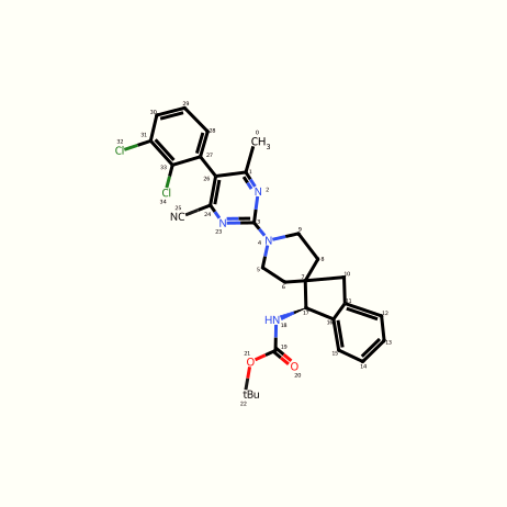 Cc1nc(N2CCC3(CC2)Cc2ccccc2[C@H]3NC(=O)OC(C)(C)C)nc(C#N)c1-c1cccc(Cl)c1Cl